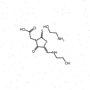 NCCO.O=C(O)CN1C(=O)C(=CNCCO)SC1=S